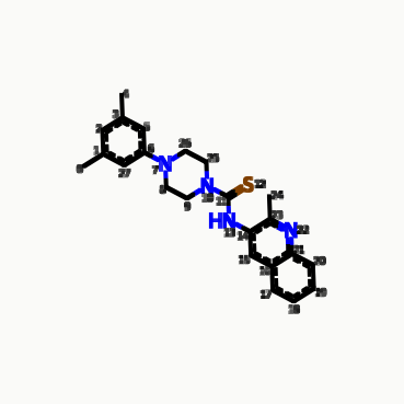 Cc1cc(C)cc(N2CCN(C(=S)Nc3cc4ccccc4nc3C)CC2)c1